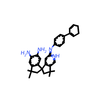 CC1(C)CC2(CC(C)(C)c3c[nH]/c(=N\c4ccc(C5=CCCC=C5)cc4)cc32)c2cc(N)c(N)cc21